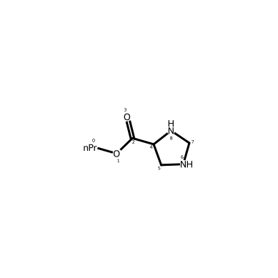 [CH2]CCOC(=O)C1CNCN1